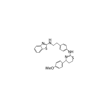 COc1ccc(C2CCSC(Nc3ccc(CCNc4nc5ccccc5s4)cc3)=N2)cc1